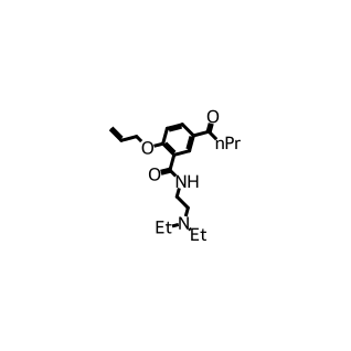 C=CCOc1ccc(C(=O)CCC)cc1C(=O)NCCN(CC)CC